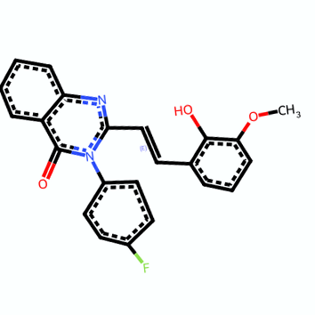 COc1cccc(/C=C/c2nc3ccccc3c(=O)n2-c2ccc(F)cc2)c1O